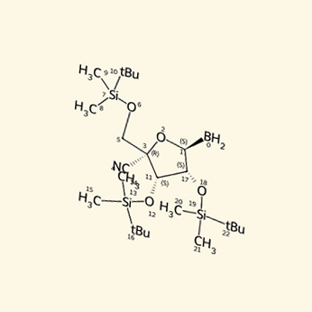 B[C@@H]1O[C@](C#N)(CO[Si](C)(C)C(C)(C)C)[C@@H](O[Si](C)(C)C(C)(C)C)[C@H]1O[Si](C)(C)C(C)(C)C